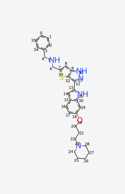 c1ccc(CNCc2cc3[nH]nc(-c4cc5ccc(OCCCN6CCCCC6)cc5[nH]4)c3s2)cc1